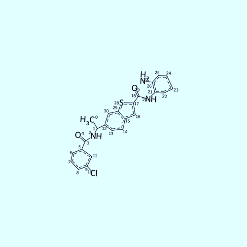 CC(NC(=O)c1cccc(Cl)c1)c1ccc2cc(C(=O)Nc3ccccc3N)sc2c1